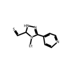 CCN1C(c2ccncc2)=NNC1C=S